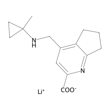 CC1(NCc2cc(C(=O)[O-])nc3c2CCC3)CC1.[Li+]